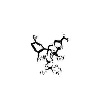 CC(C)(C)OC(=O)NC(C)(Cn1cc(C(F)F)nc1C(=O)O)c1cc(Br)ccc1F